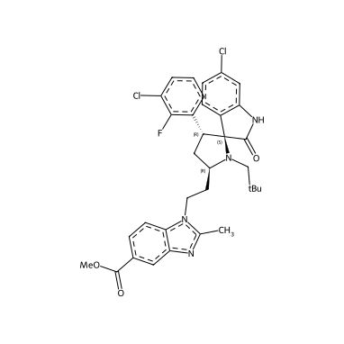 COC(=O)c1ccc2c(c1)nc(C)n2CC[C@H]1C[C@H](c2cccc(Cl)c2F)[C@]2(C(=O)Nc3cc(Cl)ccc32)N1CC(C)(C)C